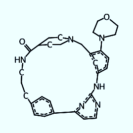 O=C1NCCCc2ccc(cc2)-c2ccnc(n2)Nc2ccc(N3CCOCC3)c(c2)CN2CCC1CC2